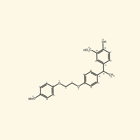 COc1ccc(OCCOc2ccc(C(C)c3ccc(O)c(C(=O)O)c3)cc2)cc1